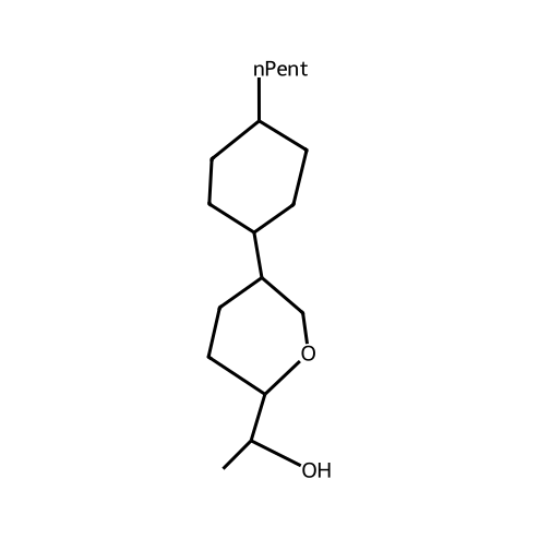 CCCCCC1CCC(C2CCC(C(C)O)OC2)CC1